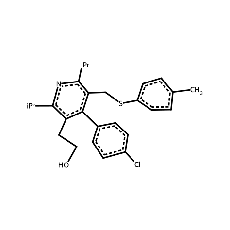 Cc1ccc(SCc2c(C(C)C)nc(C(C)C)c(CCO)c2-c2ccc(Cl)cc2)cc1